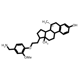 COc1cc(CN)ccc1OCCC1CCC2C3C(CCC12C)c1ccc(O)cc1C[C@H]3C